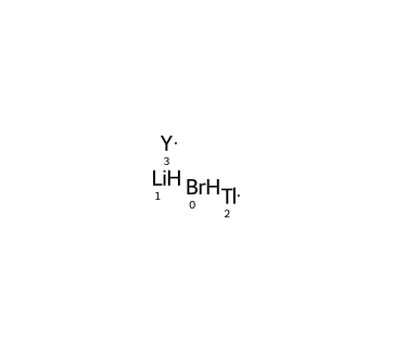 Br.[LiH].[Tl].[Y]